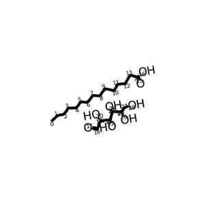 CCCCCCCCCCCCCCC(=O)O.O=C[C@H](O)[C@@H](O)[C@H](O)[C@H](O)CO